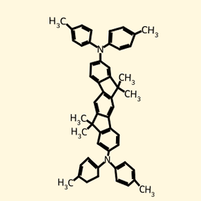 CC1=CC=C(N(c2ccc(C)cc2)c2ccc3c(c2)C(C)(C)c2cc4c(cc2-3)C(C)(C)c2cc(N(c3ccc(C)cc3)c3ccc(C)cc3)ccc2-4)CC1